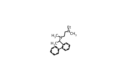 CCN(C)CCN(C)C(C)c1ccccc1-c1ccccc1